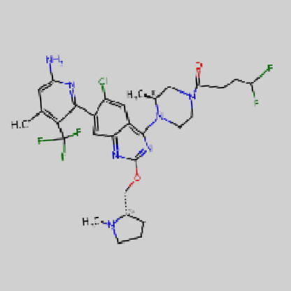 Cc1cc(N)nc(-c2cc3nc(OC[C@@H]4CCCN4C)nc(N4CCN(C(=O)CCC(F)F)C[C@@H]4C)c3cc2Cl)c1C(F)(F)F